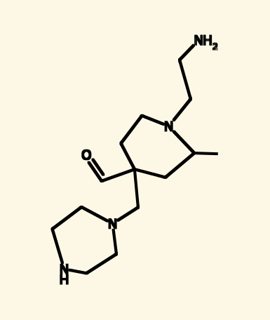 CC1CC(C=O)(CN2CCNCC2)CCN1CCN